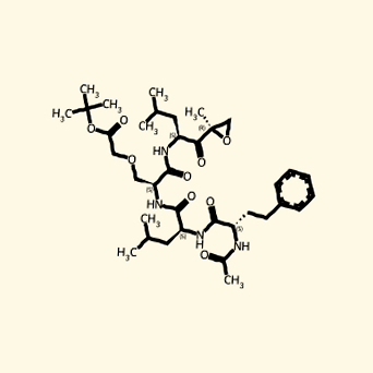 CC(=O)N[C@@H](CCc1ccccc1)C(=O)N[C@@H](CC(C)C)C(=O)N[C@@H](COCC(=O)OC(C)(C)C)C(=O)N[C@@H](CC(C)C)C(=O)[C@@]1(C)CO1